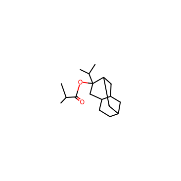 CC(C)C(=O)OC1(C(C)C)CC2CCC3CC2CC1C3